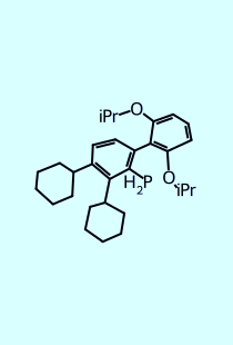 CC(C)Oc1cccc(OC(C)C)c1-c1ccc(C2CCCCC2)c(C2CCCCC2)c1P